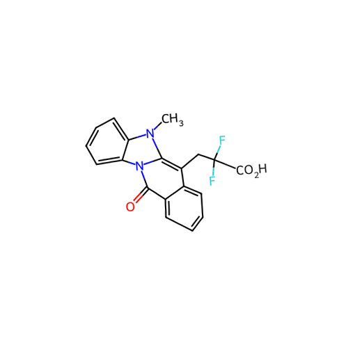 Cn1c2ccccc2n2c(=O)c3ccccc3c(CC(F)(F)C(=O)O)c12